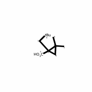 CC(C)(C)CC1(C(=O)O)CC1(C)C